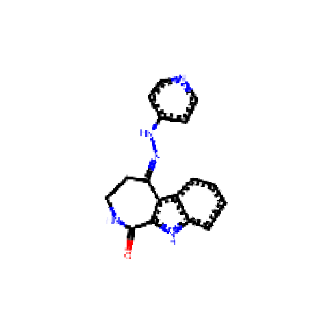 O=C1NCCC(=NNc2ccncc2)c2c1[nH]c1ccccc21